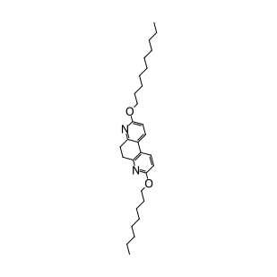 CCCCCCCCCCOc1ccc2c(n1)CCc1nc(OCCCCCCCC)ccc1-2